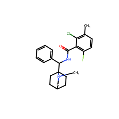 Cc1ccc(F)c(C(=O)NC(c2ccccc2)C23CCC(CC2)CN3C)c1Cl